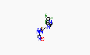 Cn1c(SCCCN2C[C@H]3N(c4c(F)cc(F)cc4F)CC[C@@]3(C)C2)nnc1-c1ccn(C)c(=O)c1